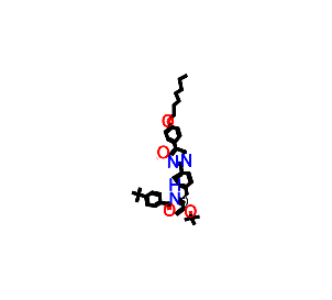 C=C(OC(C)(C)C)[C@H](Cc1ccc(-c2ncc(-c3ccc(OCCCCCCC)cc3)c(OC)n2)cc1)NC(=O)c1ccc(C(C)(C)C)cc1